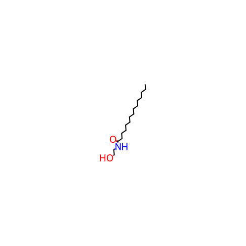 CCCCCCCCCCCCCCC(=O)NCCO